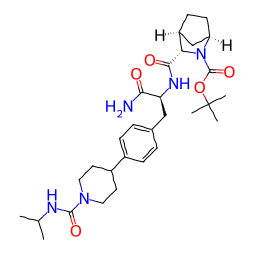 CC(C)NC(=O)N1CCC(c2ccc(C[C@H](NC(=O)[C@@H]3[C@H]4CC[C@H](C4)N3C(=O)OC(C)(C)C)C(N)=O)cc2)CC1